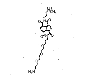 CN(C)CCCN1C(=O)c2ccc3c4c(ccc(c24)C1=O)C(=O)N(CCCOCCOCCOCCCN)C3=O